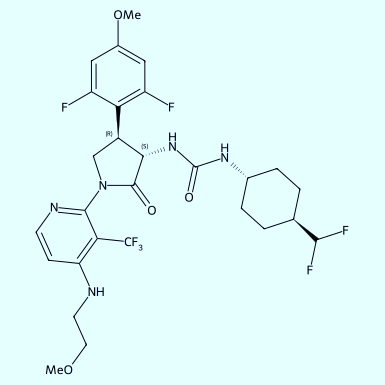 COCCNc1ccnc(N2C[C@@H](c3c(F)cc(OC)cc3F)[C@H](NC(=O)N[C@H]3CC[C@H](C(F)F)CC3)C2=O)c1C(F)(F)F